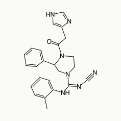 Cc1ccccc1N/C(=N/C#N)N1CCN(C(=O)Cc2c[nH]cn2)C(c2ccccc2)C1